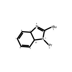 CC(C)N1C(C(C)(C)C)=NC2C=CC=CC21